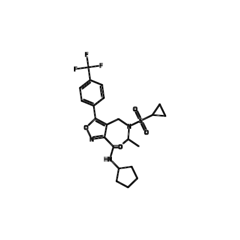 CC(C)N(Cc1c(C(=O)NC2CCCC2)noc1-c1ccc(C(F)(F)F)cc1)S(=O)(=O)C1CC1